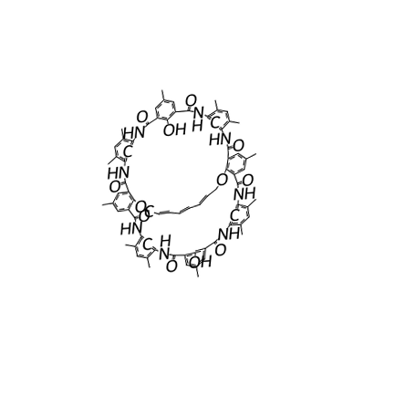 Cc1cc2c(O)c(c1)C(=O)Nc1cc(c(C)cc1C)NC(=O)c1cc(C)cc3c1OC/C=C/C=C/C=C/COc1c(cc(C)cc1C(=O)Nc1cc(c(C)cc1C)NC(=O)c1cc(C)cc(c1O)C(=O)Nc1cc(c(C)cc1C)NC3=O)C(=O)Nc1cc(c(C)cc1C)NC2=O